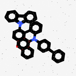 c1ccc(-c2ccc(N(c3ccccc3-c3c(-n4c5ccccc5c5ccccc54)ccc4ccccc34)c3cccc4ccccc34)cc2)cc1